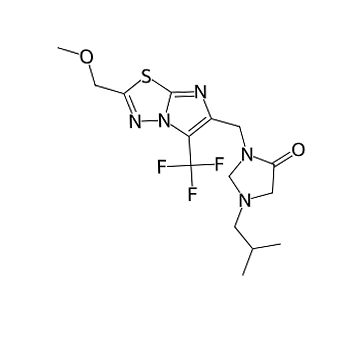 COCc1nn2c(C(F)(F)F)c(CN3CN(CC(C)C)CC3=O)nc2s1